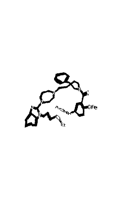 CCOCCn1c(N2CCCN(CCC3(c4ccccc4)CCN(C(=O)c4cc(NC(C)=O)ccc4OC)C3)CC2)nc2ccccc21